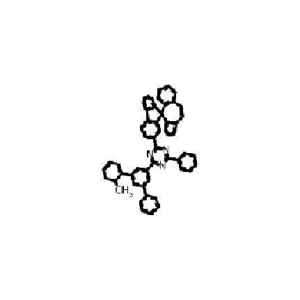 CC1CC=CC=C1c1cc(-c2ccccc2)cc(-c2nc(-c3ccccc3)nc(-c3ccc4c(c3)C3(c5ccccc5C=Cc5ccccc53)c3ccccc3-4)n2)c1